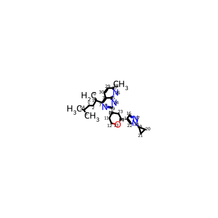 C=C(CCC(C)C)c1nc([C@H]2CCO[C@@H](c3cnn(C4CC4)c3)C2)nc2nc(C)ccc12